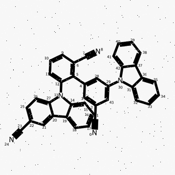 N#Cc1cc(-c2c(C#N)cccc2-n2c3ccccc3c3cc(C#N)ccc32)cc(-n2c3ccccc3c3ccccc32)c1